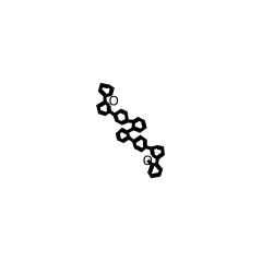 c1ccc(-c2ccccc2-c2ccc(-c3cccc4c3oc3ccccc34)cc2)c(-c2ccc(-c3cccc4c3oc3ccccc34)cc2)c1